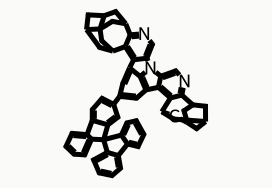 c1ccc2c(c1)-c1ccccc1C21c2ccccc2-c2ccc(-c3cc4c5c6c(ncc5n5c7cnc8c(c7c(c3)c45)C3CC4CC5CC8CC54C3)C3CC4CC(C3)CC6C4)cc21